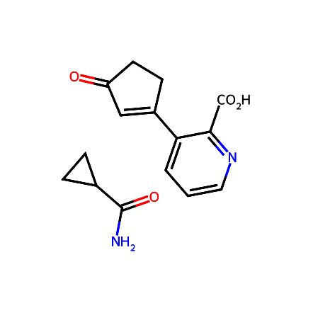 NC(=O)C1CC1.O=C1C=C(c2cccnc2C(=O)O)CC1